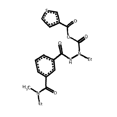 CCN(C)C(=O)c1cccc(C(=O)NN(CC)C(=O)OC(=O)c2ccsc2)c1